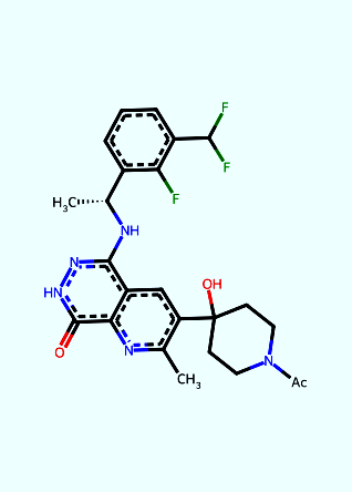 CC(=O)N1CCC(O)(c2cc3c(N[C@H](C)c4cccc(C(F)F)c4F)n[nH]c(=O)c3nc2C)CC1